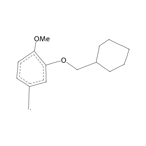 [CH2]c1ccc(OC)c(OCC2CCCCC2)c1